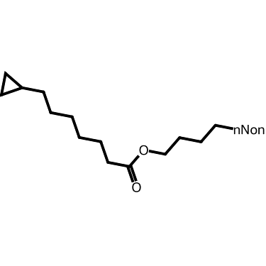 CCCCCCCCCCCCCOC(=O)CCCCCCC1CC1